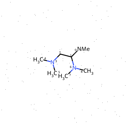 CNC(CN(C)C)N(C)C